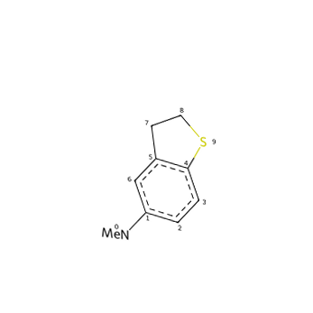 CNc1ccc2c(c1)CCS2